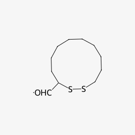 O=[C]C1CCCCCCCCCSS1